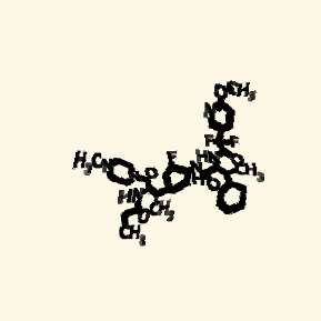 CCC(=O)N[C@@H](C(=O)N1CCN(C)CC1)[C@@H](C)c1ccc(NC(=O)C(NC(=O)C(F)(F)c2ccc(OC)nc2)[C@@H](C)C2CCCCC2)c(F)c1